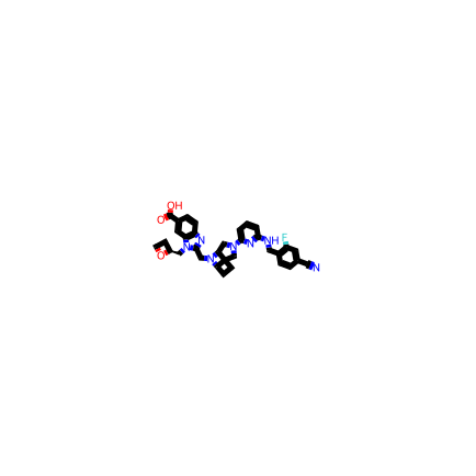 N#Cc1ccc(CNc2cccc(N3CC4N(Cc5nc6ccc(C(=O)O)cc6n5C[C@@H]5CCO5)C5CCC54C3)n2)c(F)c1